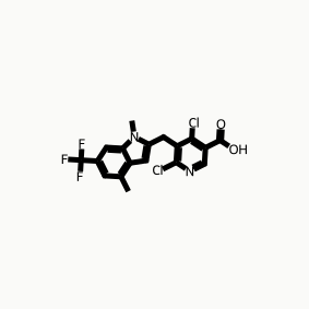 Cc1cc(C(F)(F)F)cc2c1cc(Cc1c(Cl)ncc(C(=O)O)c1Cl)n2C